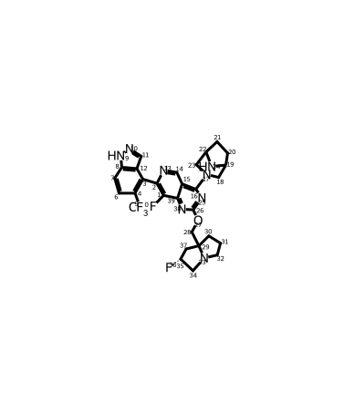 Fc1c(-c2c(C(F)(F)F)ccc3[nH]ncc23)ncc2c(N3CC4CCC(C3)N4)nc(OCC34CCCN3C[C@H](F)C4)nc12